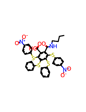 CCCCNC(=O)c1c(Sc2ccc([N+](=O)[O-])cc2)c(Sc2ccccc2)c(Sc2ccccc2)c(Sc2ccc([N+](=O)[O-])cc2)c1C(=O)O